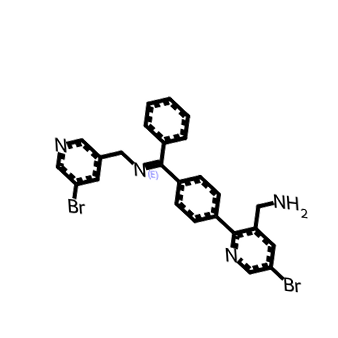 NCc1cc(Br)cnc1-c1ccc(/C(=N/Cc2cncc(Br)c2)c2ccccc2)cc1